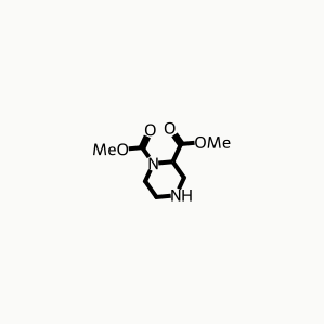 COC(=O)C1CNCCN1C(=O)OC